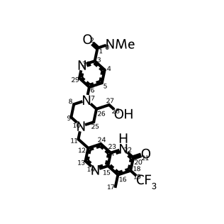 CNC(=O)c1ccc(N2CCN(Cc3cnc4c(C)c(C(F)(F)F)c(=O)[nH]c4c3)CC2CO)cn1